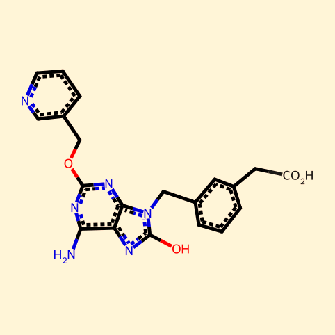 Nc1nc(OCc2cccnc2)nc2c1nc(O)n2Cc1cccc(CC(=O)O)c1